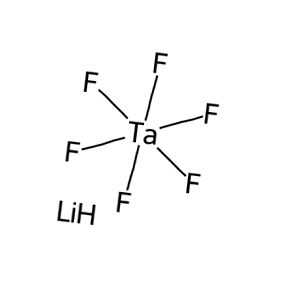 [F][Ta]([F])([F])([F])([F])[F].[LiH]